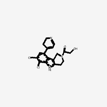 O=C(CO)N1CCc2[nH]c3c(Cl)c(Cl)cc(C4=CC=NCC4)c3c2C1